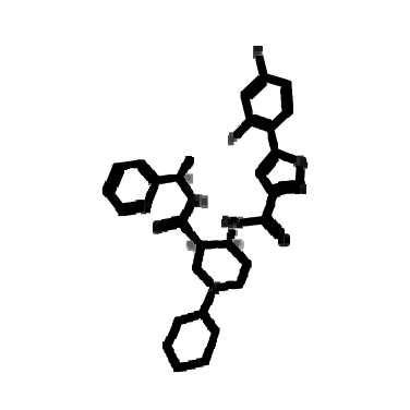 C[C@@H](NC(=O)[C@@H]1CN(C2CCCCC2)CC[C@H]1NC(=O)c1cc(-c2ccc(F)cc2F)on1)c1ccccn1